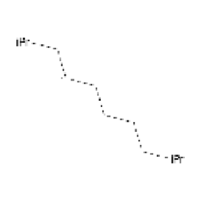 CC(C)C[CH]CCCCC(C)C